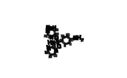 Nc1ccc(S(=O)(=O)Nc2ncccn2)cc1.[NaH].c1cncnc1